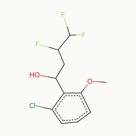 COc1cccc(Cl)c1C(O)CC(F)C(F)F